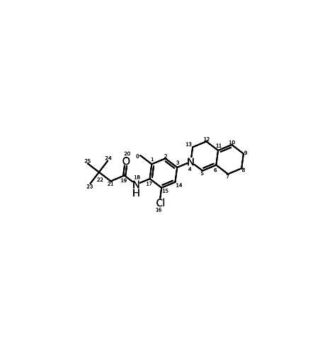 Cc1cc(N2C=C3CCCC=C3CC2)cc(Cl)c1NC(=O)CC(C)(C)C